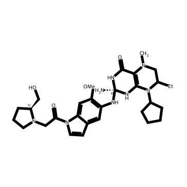 CCC1CN(C)C2=C(N[C@@](N)(Nc3cc4ccn(C(=O)CN5CCC[C@H]5CO)c4cc3OC)NC2=O)N1C1CCCC1